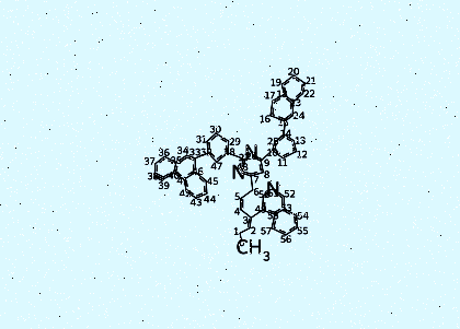 CC/C=C(\C=C/Cc1cc(-c2cccc(-c3ccc4ccccc4c3)c2)nc(-c2cccc(-c3cc4ccc#cc4c4ccccc34)c2)n1)c1cncc2ccccc12